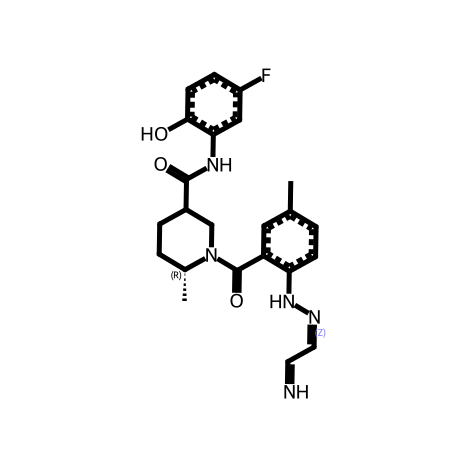 Cc1ccc(N/N=C\C=N)c(C(=O)N2CC(C(=O)Nc3cc(F)ccc3O)CC[C@H]2C)c1